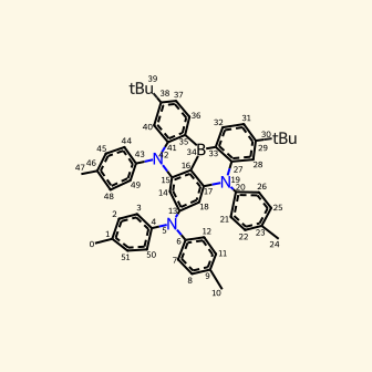 Cc1ccc(N(c2ccc(C)cc2)c2cc3c4c(c2)N(c2ccc(C)cc2)c2cc(C(C)(C)C)ccc2B4c2ccc(C(C)(C)C)cc2N3c2ccc(C)cc2)cc1